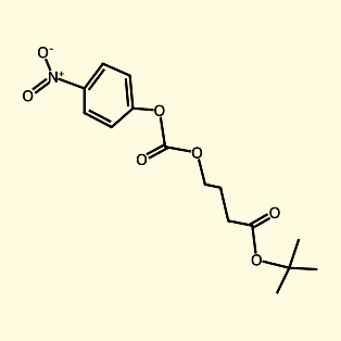 CC(C)(C)OC(=O)CCCOC(=O)Oc1ccc([N+](=O)[O-])cc1